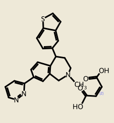 CN1CCC(c2ccc3sccc3c2)c2ccc(-c3cccnn3)cc2C1.O=C(O)/C=C\C(=O)O